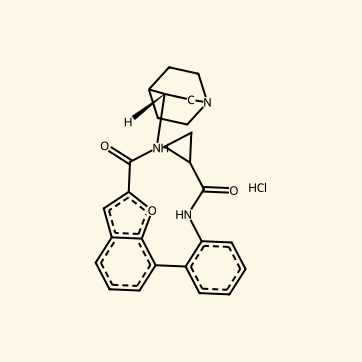 Cl.O=C(N[C@H]1CN2CCC1CC2)c1cc2cccc(-c3ccccc3NC(=O)C3CC3)c2o1